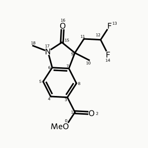 COC(=O)c1ccc2c(c1)C(C)(CC(F)F)C(=O)N2C